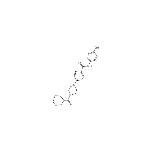 O=C(Nc1ccc(O)cc1)c1ccc(N2CCN(C(=O)C3CCCCC3)CC2)cc1